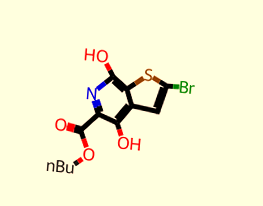 CCCCOC(=O)c1nc(O)c2sc(Br)cc2c1O